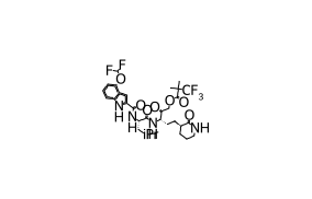 CC(C)C[C@H](NC(=O)c1cc2c(OC(F)F)cccc2[nH]1)C(=O)N[C@@H](CC[C@@H]1CCCNC1=O)C(=O)COC(=O)C(C)(C)C(F)(F)F